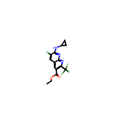 CCOC(=O)c1cc2cc(F)c(NC3CC3)nc2nc1C(F)(F)F